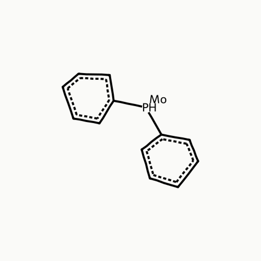 [Mo].c1ccc(Pc2ccccc2)cc1